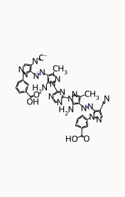 [C-]#[N+]c1cnn(-c2cccc(C(=O)O)c2)c1/N=N/c1c(C)nn(-c2ncnc(-n3nc(C)c(/N=N/c4c(C#N)cnn4-c4cccc(C(=O)O)c4)c3N)n2)c1N